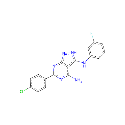 Nc1nc(-c2ccc(Cl)cc2)nc2n[nH]c(Nc3cccc(F)c3)c12